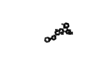 Cc1cccc(-c2n[nH]cc2-c2ccc3ncc(N4CC[C@@H](N5CCCCC5)C4)cc3n2)n1